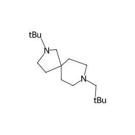 CC(C)(C)CN1CCC2(CC1)CCN(C(C)(C)C)C2